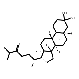 CC(C)C(=O)CC[C@@H](C)[C@H]1CC[C@H]2[C@@H]3CC[C@@H]4CC(O)(O)CC[C@]4(C)[C@H]3CC[C@]12C